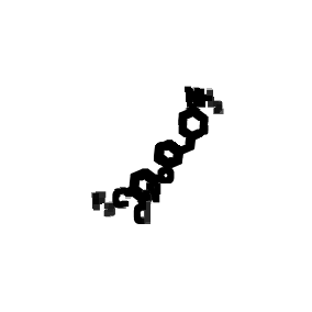 NC1CCC(=Cc2cccc(Oc3ccc(C(F)(F)F)c(Cl)n3)c2)CC1